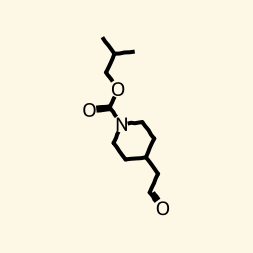 CC(C)COC(=O)N1CCC(CC=O)CC1